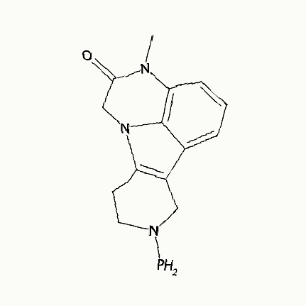 CN1C(=O)Cn2c3c(c4cccc1c42)CN(P)CC3